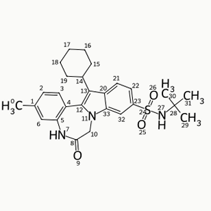 Cc1ccc2c(c1)NC(=O)Cn1c-2c(C2CCCCC2)c2ccc(S(=O)(=O)NC(C)(C)C)cc21